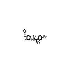 O=C(Nc1ccc(OC2CCC2)c(F)c1)c1coc2cc(Br)ccc12